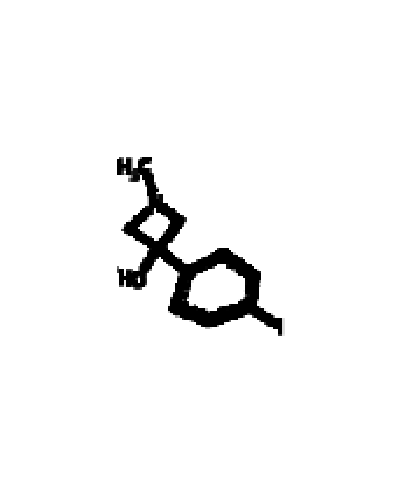 CN1CC(O)(c2ccc(I)cc2)C1